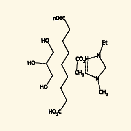 CC(=O)O.CCCCCCCCCCCCCCCCCC(=O)O.CCN1C=CN(C)C1.OCC(O)CO